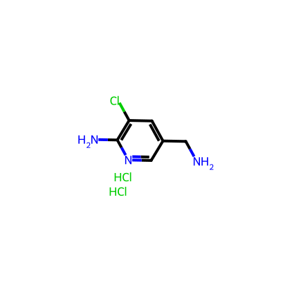 Cl.Cl.NCc1cnc(N)c(Cl)c1